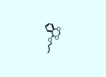 CCCCOC1OCOc2ccccc21